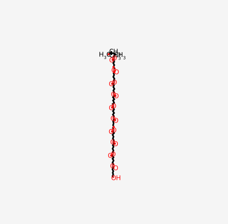 CCC(C)(C)CC(C)COC(=O)CCCCCOC(=O)CCCCCOC(=O)CCCCCOC(=O)CCCCCOC(=O)CCCCCOC(=O)CCCCCOC(=O)CCCCCOC(=O)CCCCCOC(=O)CCCCCOC(=O)CCCCCO